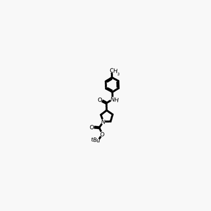 Cc1ccc(NC(=O)C2CCN(C(=O)OC(C)(C)C)C2)cc1